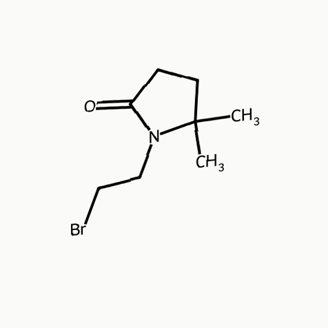 CC1(C)CCC(=O)N1CCBr